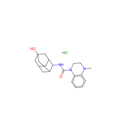 CN1CCN(C(=O)NC2C3CC4CC2CC(O)(C4)C3)c2ccccc21.Cl